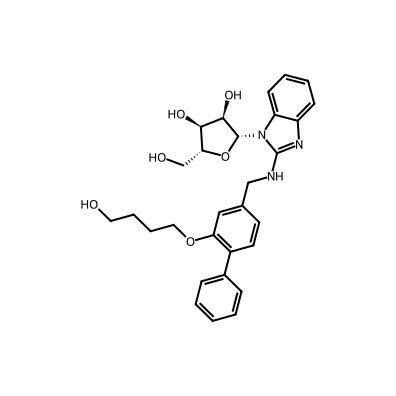 OCCCCOc1cc(CNc2nc3ccccc3n2[C@@H]2O[C@H](CO)[C@@H](O)[C@H]2O)ccc1-c1ccccc1